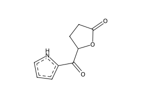 O=C1CCC(C(=O)c2ccc[nH]2)O1